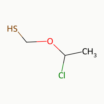 CC(Cl)OCS